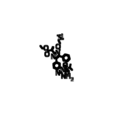 C=C(C(=O)OCC)c1nc(-c2ccc3nc(N)n(S(=O)(=O)C(C)C)c3c2)c(-c2ccccc2)n1COCC[Si](C)(C)C